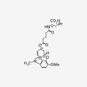 COc1ccc2c3c1O[C@H]1C[C@@H](OC(=O)CCCC(=O)N[C@@H](CC(C)C)C(=O)O)C=C[C@@]31CCN(C)C2